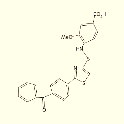 COc1cc(C(=O)O)ccc1NSc1csc(-c2ccc(C(=O)c3ccccc3)cc2)n1